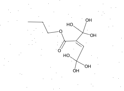 CCCOC(=O)C(=CC(O)(O)O)C(O)(O)O